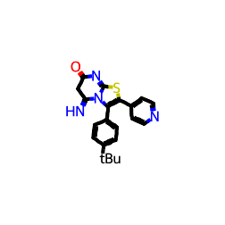 CC(C)(C)c1ccc(C2=C(c3ccncc3)SC3=NC(=O)CC(=N)N32)cc1